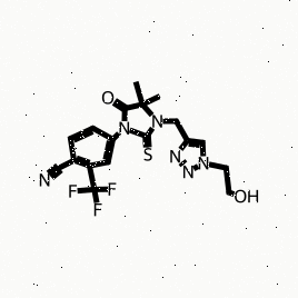 CC1(C)C(=O)N(c2ccc(C#N)c(C(F)(F)F)c2)C(=S)N1Cc1cn(CCO)nn1